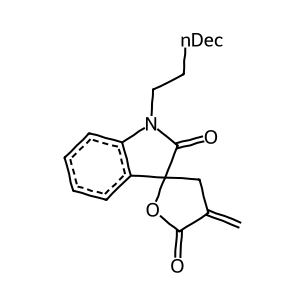 C=C1CC2(OC1=O)C(=O)N(CCCCCCCCCCCC)c1ccccc12